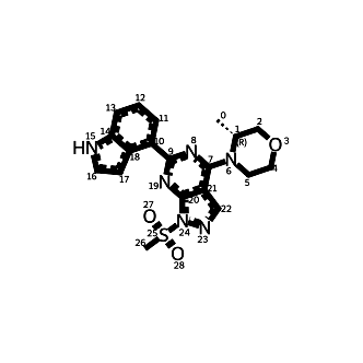 C[C@@H]1COCCN1c1nc(-c2cccc3[nH]ccc23)nc2c1cnn2S(C)(=O)=O